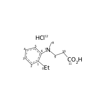 CCc1ccccc1N(C)CCC(=O)O.Cl